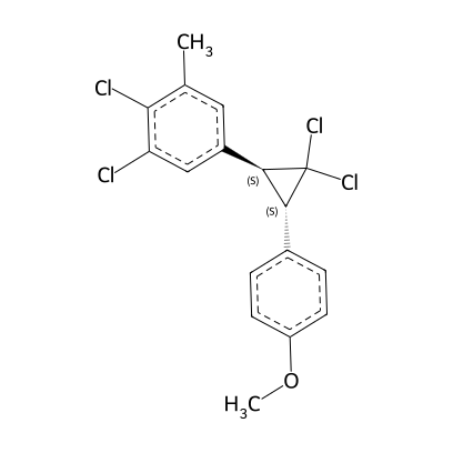 COc1ccc([C@@H]2[C@@H](c3cc(C)c(Cl)c(Cl)c3)C2(Cl)Cl)cc1